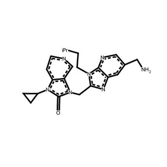 CC(C)CCn1c(Cn2c(=O)n(C3CC3)c3ccncc32)nc2cc(CN)cnc21